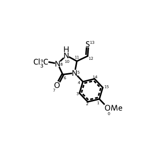 COc1ccc(N2C(=O)N(C(Cl)(Cl)Cl)NC2C=S)cc1